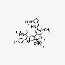 CNC(=O)c1c(-c2ccc(F)cc2)oc2cc(N(C)S(C)(=O)=O)c(-c3ccc(OC)c(-c4cc5cccc(N)c5[nH]4)n3)cc12